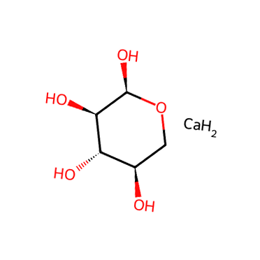 O[C@@H]1[C@@H](O)[C@@H](O)OC[C@H]1O.[CaH2]